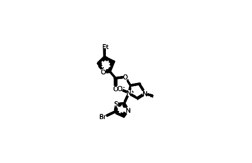 CCc1coc(C(=O)OC2CN(C)C[N+]2([O-])c2ncc(Br)s2)c1